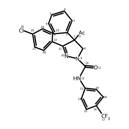 CC(=O)C1(c2ccccc2)CN(C(=O)Nc2ccc(C(F)(F)F)cc2)N=C1c1ccc(Cl)cc1